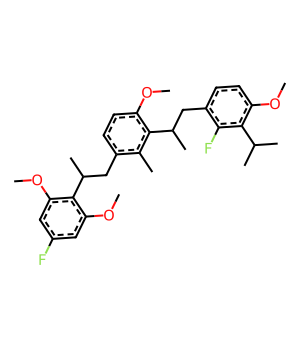 COc1ccc(CC(C)c2c(OC)ccc(CC(C)c3c(OC)cc(F)cc3OC)c2C)c(F)c1C(C)C